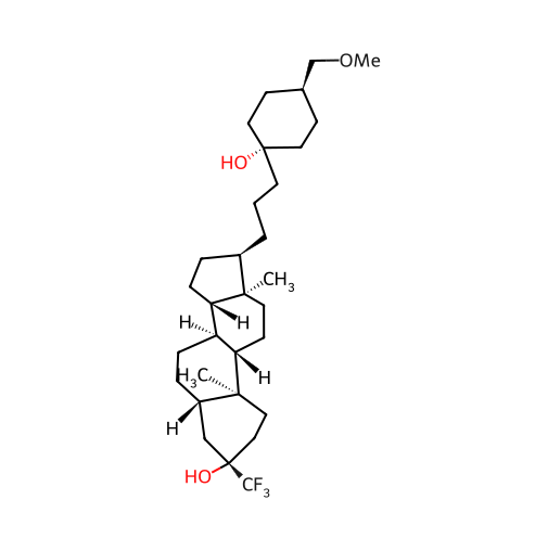 COC[C@H]1CC[C@@](O)(CCC[C@@H]2CC[C@H]3[C@@H]4CC[C@H]5C[C@](O)(C(F)(F)F)CC[C@]5(C)[C@H]4CC[C@]23C)CC1